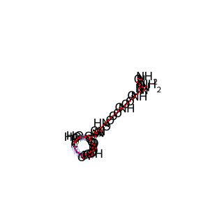 CO[C@H]1C[C@@H]2CC[C@@H](C)[C@@](O)(O2)C(=O)C(=O)N2CCCC[C@H]2C(=O)O[C@H]([C@H](C)C[C@@H]2CC[C@H](n3cc(CCCC(=O)NCCOCCOCCOCCC(=O)NCCOCCOCCC(=O)NCCCCn4nc(-c5ccc6oc(N)nc6c5)c5c(N)ncnc54)nn3)[C@H](OC)C2)C[C@@H](OC)[C@H](C)/C=C(\C)[C@@H](O)[C@@H](O)C(=O)[C@H](C)C[C@H](C)/C=C/C=C/C=C/1C